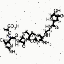 C[C@H](O/N=C(\C(=O)N[C@@H]1C(=O)N2C(C(=O)O)=C(C[n+]3cnc(N)c(NCCNC(=O)c4cc(=O)c(O)c[nH]4)c3)CSC12)c1nc(N)sc1Cl)C(=O)O